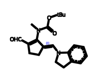 CN(C(=O)OC(C)(C)C)C1=C(C=O)CC/C1=C\N1CCc2ccccc21